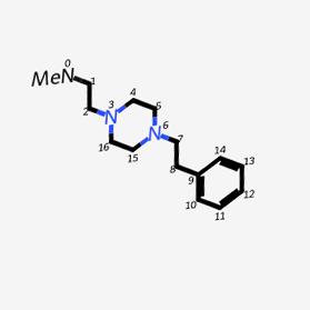 CNCCN1CCN(CCc2ccccc2)CC1